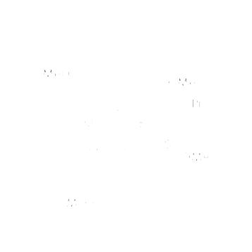 COc1cccc(OC)c1C(=O)P(=S)(CC(C)C)C(=O)c1c(OC)cccc1OC